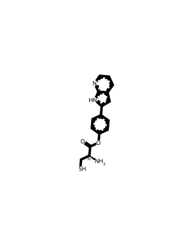 N[C@@H](CS)C(=O)Oc1ccc(-c2cc3cccnc3[nH]2)cc1